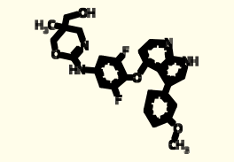 COc1cccc(-c2c[nH]c3nccc(Oc4c(F)cc(NC5=NCC(C)(CO)CO5)cc4F)c23)c1